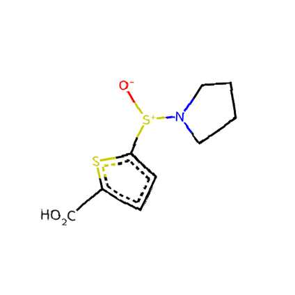 O=C(O)c1ccc([S+]([O-])N2CCCC2)s1